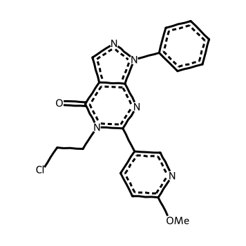 COc1ccc(-c2nc3c(cnn3-c3ccccc3)c(=O)n2CCCl)cn1